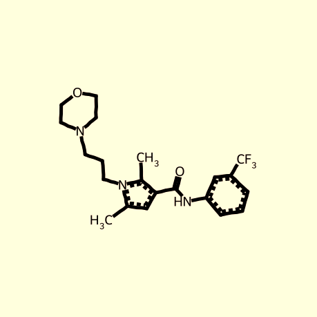 Cc1cc(C(=O)Nc2cccc(C(F)(F)F)c2)c(C)n1CCCN1CCOCC1